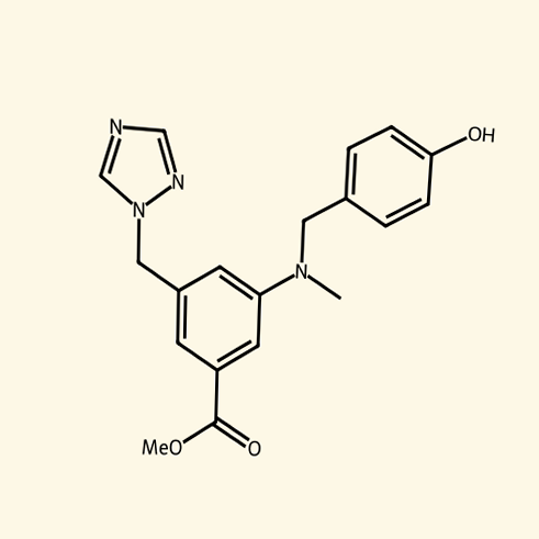 COC(=O)c1cc(Cn2cncn2)cc(N(C)Cc2ccc(O)cc2)c1